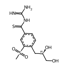 CS(=O)(=O)c1cc(C(=S)NC(=N)N)ccc1C[C@@H](O)CO